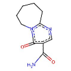 NC(=O)c1cnc2n(c1=O)CCCCC2